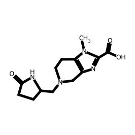 Cn1c(C(=O)O)nc2c1CCN(CC1CCC(=O)N1)C2